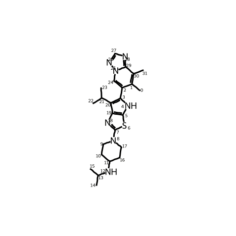 Cc1c(-c2[nH]c3sc(N4CCC(NC(C)C)CC4)nc3c2C(C)C)cn2ncnc2c1C